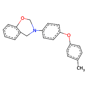 Cc1ccc(Oc2ccc(N3COc4ccccc4C3)cc2)cc1